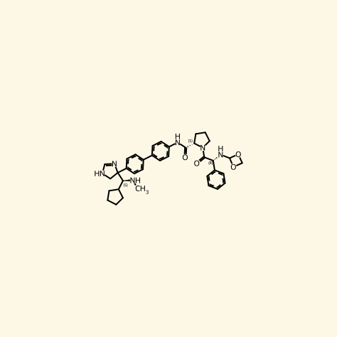 CN[C@@H](C1CCCC1)C1(c2ccc(-c3ccc(NC(=O)[C@@H]4CCCN4C(=O)[C@H](NC4OCO4)c4ccccc4)cc3)cc2)CNC=N1